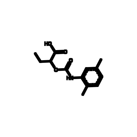 CCC(OC(=O)Nc1cc(C)ccc1C)C(=O)O